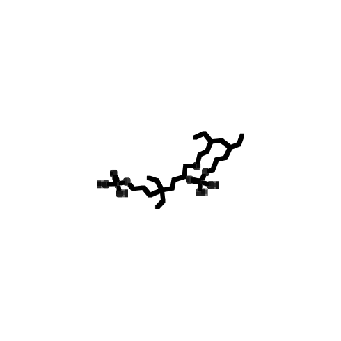 CCC(CCCOP(=O)(O)O)CC(CC)CCOCCCCC(CC)(CC)CCCOP(=O)(O)O